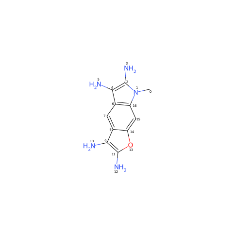 Cn1c(N)c(N)c2cc3c(N)c(N)oc3cc21